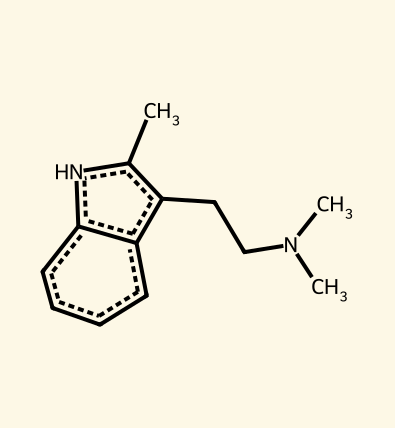 Cc1[nH]c2ccccc2c1CCN(C)C